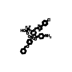 NC1CCN(C(=O)[C@@H]2CN(Cc3nc(-c4ccc(Cl)cc4)cs3)CCN2S(=O)(=O)c2ccc(OCC3CCCCC3)cc2)CC1.O=C(O)C(F)(F)F